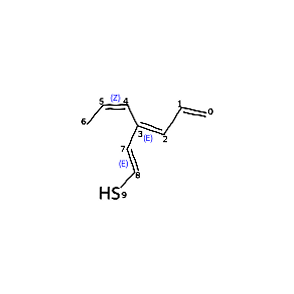 C=C/C=C(\C=C/C)/C=C/S